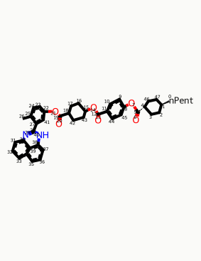 CCCCC[C@H]1CC[C@H](C(=O)Oc2ccc(C(=O)OC3CCC(C(=O)Oc4ccc(C)c(C5=Nc6cccc7cccc(c67)N5)c4)CC3)cc2)CC1